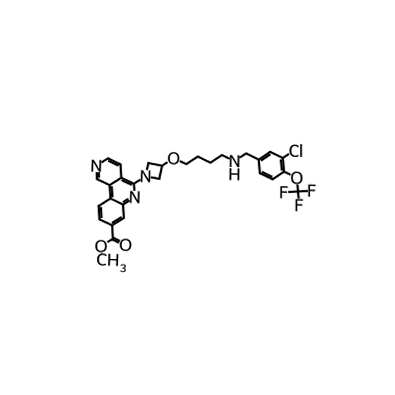 COC(=O)c1ccc2c(c1)nc(N1CC(OCCCCNCc3ccc(OC(F)(F)F)c(Cl)c3)C1)c1ccncc12